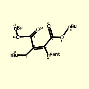 CCCCC/C(C(=O)OCCCC)=C(\CC(C)(C)C)C(=O)OCCCC